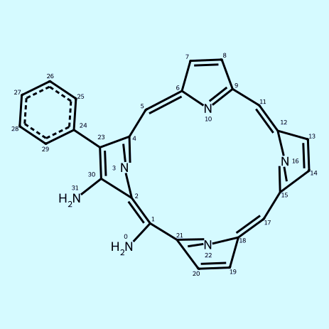 NC1=C2N=C(C=C3C=CC(=N3)C=C3C=CC(=N3)C=C3C=CC1=N3)C(c1ccccc1)=C2N